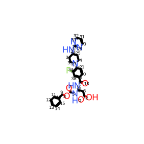 O=C(O)CC(NC(=O)OCc1ccccc1)NC(=O)c1ccc(N2CCC(Nc3ncccn3)CC2)c(F)c1